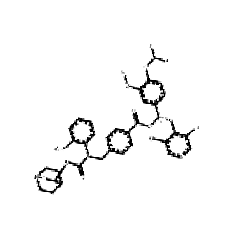 COc1ccccc1N(Cc1ccc(C(=O)O[C@@H](Cc2c(Cl)cncc2Cl)c2ccc(OC(F)F)c(OC(C)C)c2)cc1)C(=O)OC1CN2CCC1CC2